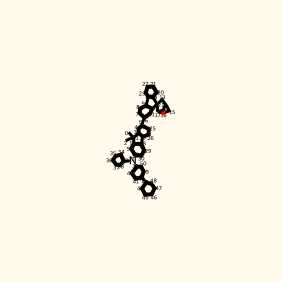 CC1(C)c2cc(-c3ccc4c(c3)C3(CC5CCC3C5)c3ccccc3-4)ccc2-c2ccc(N(c3ccccc3)c3ccc(-c4ccccc4)cc3)cc21